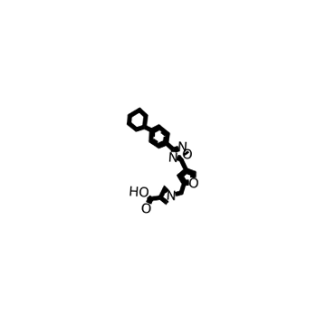 O=C(O)C1CN(Cc2cc(-c3nc(-c4ccc(C5CCCCC5)cc4)no3)co2)C1